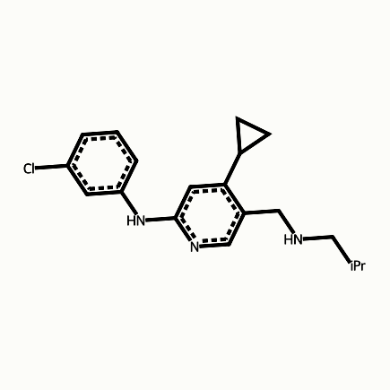 CC(C)CNCc1cnc(Nc2cccc(Cl)c2)cc1C1CC1